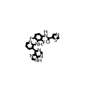 O=C(Nc1ccc(F)c(Nc2ncccc2-c2ncnc3[nH]cnc23)c1F)c1cncs1